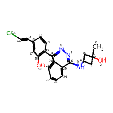 CC1(O)CC(Nc2nnc(-c3ccc(C#CCl)cc3O)c3ccccc23)C1